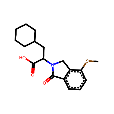 CSc1cccc2c1CN(C(CC1CCCCC1)C(=O)O)C2=O